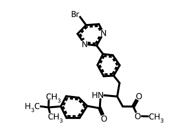 COC(=O)CC(Cc1ccc(-c2ncc(Br)cn2)cc1)NC(=O)c1ccc(C(C)(C)C)cc1